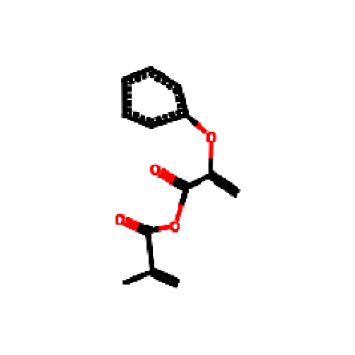 C=C(C)C(=O)OC(=O)C(=C)Oc1ccccc1